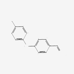 C=Cc1ccc(Oc2ccc(I)cc2)cc1